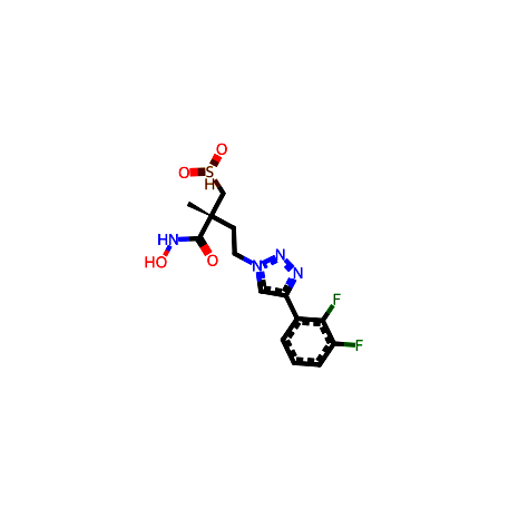 C[C@](CCn1cc(-c2cccc(F)c2F)nn1)(C[SH](=O)=O)C(=O)NO